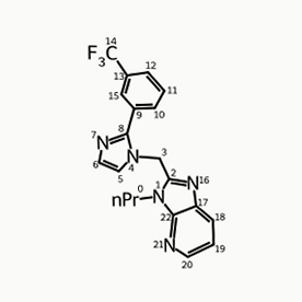 CCCn1c(Cn2ccnc2-c2cccc(C(F)(F)F)c2)nc2cccnc21